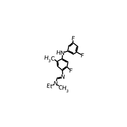 CCN(C)C=Nc1cc(C)c(Nc2cc(F)cc(F)c2)cc1F